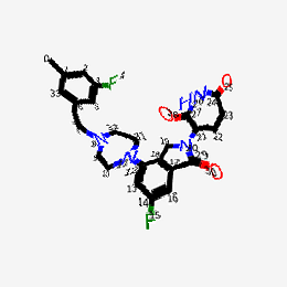 Cc1cc(F)cc(CN2CCN(c3cc(F)cc4c3CN(C3CCC(=O)NC3=O)C4=O)CC2)c1